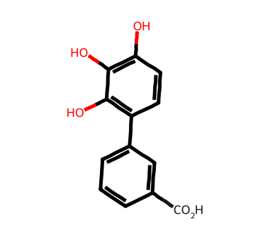 O=C(O)c1cccc(-c2ccc(O)c(O)c2O)c1